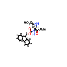 COC(=O)[C@@]1(NC(=O)OCC2c3ccccc3-c3ccccc32)CN[C@H](C(=O)O)C1